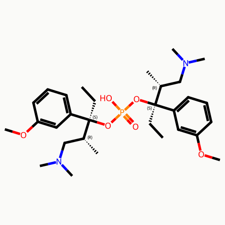 CC[C@@](OP(=O)(O)O[C@](CC)(c1cccc(OC)c1)[C@H](C)CN(C)C)(c1cccc(OC)c1)[C@H](C)CN(C)C